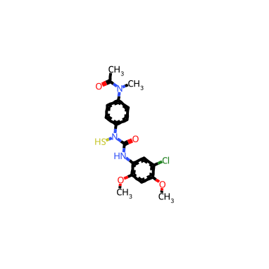 COc1cc(OC)c(NC(=O)N(S)c2ccc(N(C)C(C)=O)cc2)cc1Cl